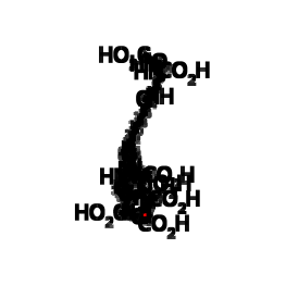 O=C(O)CNC(=O)N[C@@H](CCCCNC(=O)CCCCCCCCCCN1CCN(c2nc(Nc3ccc(CC4CN(CC(=O)O)CCN(CC(=O)O)CCN(CC(=O)O)CCN4CC(=O)O)cc3)nc(N(CC(=O)O)CC(=O)O)n2)CC1)C(=O)O